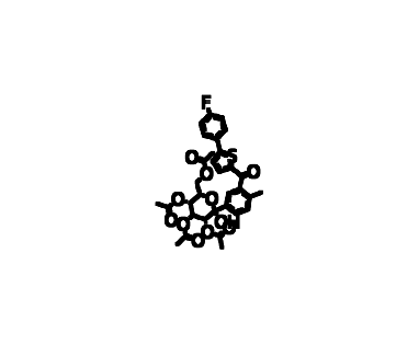 CC(=O)OCC1OC(O)(c2ccc(C)c(C(=O)c3ccc(-c4ccc(F)cc4)s3)c2)[C@H](OC(C)=O)C(OC(C)=O)[C@@H]1OC(C)=O